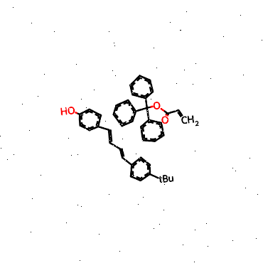 C=CC(=O)OC(c1ccccc1)(c1ccccc1)c1ccccc1.CC(C)(C)c1ccc(C=CC=Cc2ccc(O)cc2)cc1